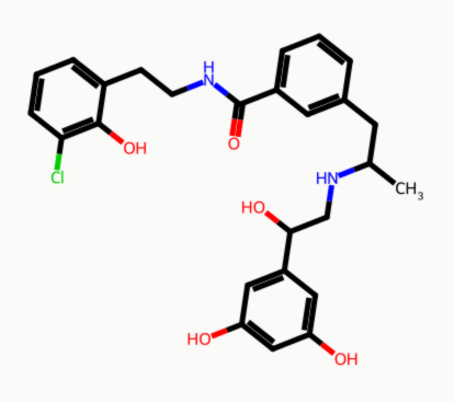 CC(Cc1cccc(C(=O)NCCc2cccc(Cl)c2O)c1)NCC(O)c1cc(O)cc(O)c1